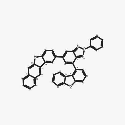 c1ccc(-n2nc3cc(-c4ccc5oc6cc7ccccc7cc6c5c4)cc(-c4cccc5oc6ccccc6c45)c3n2)cc1